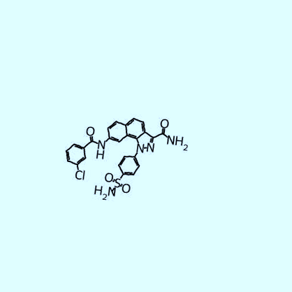 NC(=O)c1nn(-c2ccc(S(N)(=O)=O)cc2)c2c1ccc1ccc(NC(=O)c3cccc(Cl)c3)cc12